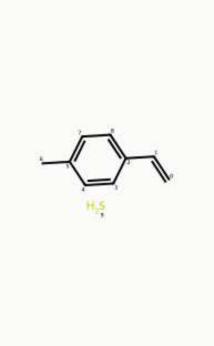 C=Cc1ccc(C)cc1.S